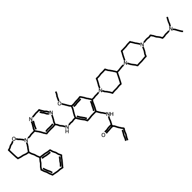 C=CC(=O)Nc1cc(Nc2cc(N3OCCC3c3ccccc3)ncn2)c(OC)cc1N1CCC(N2CCN(CCN(C)C)CC2)CC1